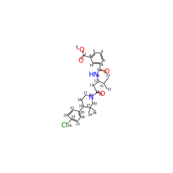 COC(=O)c1cccc(C(=O)NC(CC(=O)N2CCC(c3ccc(Cl)cc3)C(C)(C)C2)C(C)C)c1